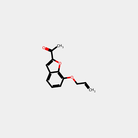 C=CCOc1cccc2cc(C(C)=O)oc12